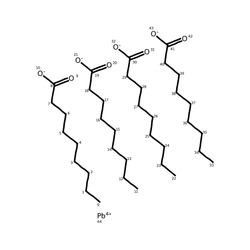 CCCCCCCCC(=O)[O-].CCCCCCCCC(=O)[O-].CCCCCCCCC(=O)[O-].CCCCCCCCC(=O)[O-].[Pb+4]